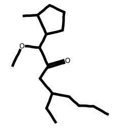 CCCCC(CC)CC(=O)C(OC)C1CCCC1C